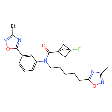 CCc1noc(-c2cccc(N(CCCCCc3nc(C)no3)C(=O)C34CC(F)(C3)C4)c2)n1